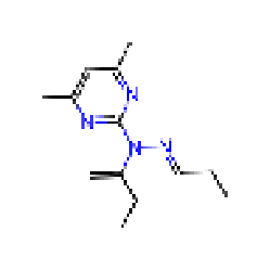 C=C(CC)N(/N=C/CC)c1nc(C)cc(C)n1